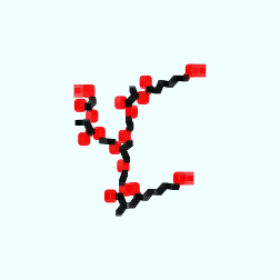 CC(CC(=O)CCCCCO)C(=O)OCCOCC(COCCOC(=O)C(C)OC(=O)CCCCCO)OCCOC(=O)C(C)OC(=O)CO